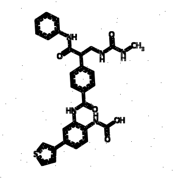 CNC(=O)NCC(C(=O)Nc1ccccc1)c1ccc(C(=O)Nc2cc(-c3ccsc3)ccc2NC(=O)O)cc1